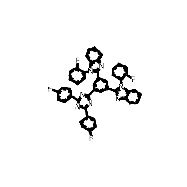 Fc1ccc(-c2nc(-c3ccc(F)cc3)nc(-c3cc(-c4nc5ccccc5n4-c4ccccc4F)cc(-c4nc5ccccc5n4-c4ccccc4F)c3)n2)cc1